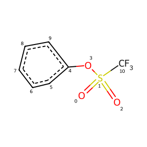 O=S(=O)(Oc1ccccc1)C(F)(F)F